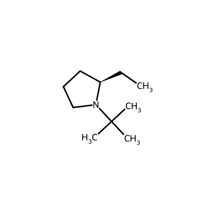 CC[C@@H]1CCCN1C(C)(C)C